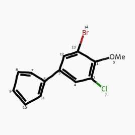 COc1c(Cl)cc(-c2[c]cccc2)cc1Br